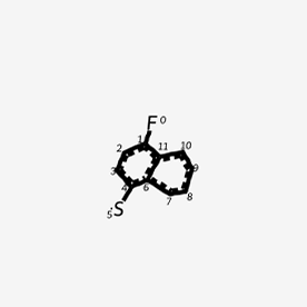 Fc1ccc([S])c2ccccc12